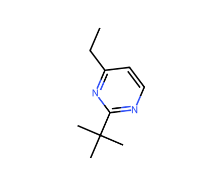 CCc1ccnc(C(C)(C)C)n1